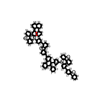 c1ccc(-c2c(-c3ccc(N(c4ccc(-c5ccc6c(c5)oc5ccccc56)cc4)c4cccc5oc6ccccc6c45)cc3)c3ccc(-c4ccc5oc6c(-c7ccc(N(c8ccc(-c9cccc%10cccc(-c%11ccccc%11)c9%10)cc8)c8cccc9oc%10ccccc%10c89)cc7)cccc6c5c4)cc3c3ccccc23)cc1